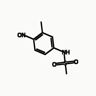 Cc1cc(NS(C)(=O)=O)ccc1N=O